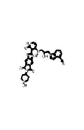 CN1CCC(N2C(=O)c3cc4nc(-c5c(NCC(O)Cn6ccc7c(C#N)cccc76)cc[nH]c5=O)[nH]c4cc3C2=O)CC1